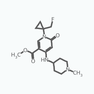 COC(=O)c1cn(C2(CF)CC2)c(=O)cc1NC1CCN(C)CC1